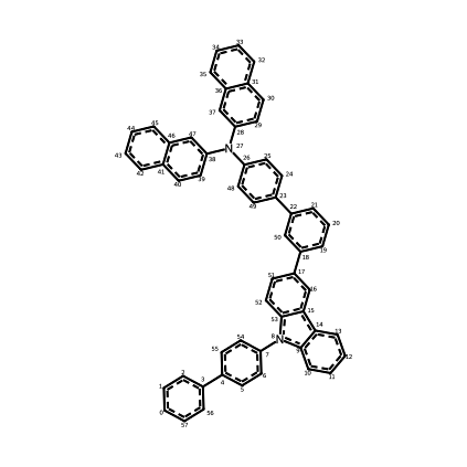 c1ccc(-c2ccc(-n3c4ccccc4c4cc(-c5cccc(-c6ccc(N(c7ccc8ccccc8c7)c7ccc8ccccc8c7)cc6)c5)ccc43)cc2)cc1